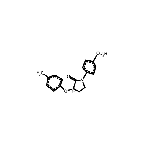 O=C(O)c1ccc(N2CC[C@@H](Oc3ccc(C(F)(F)F)cc3)C2=O)cc1